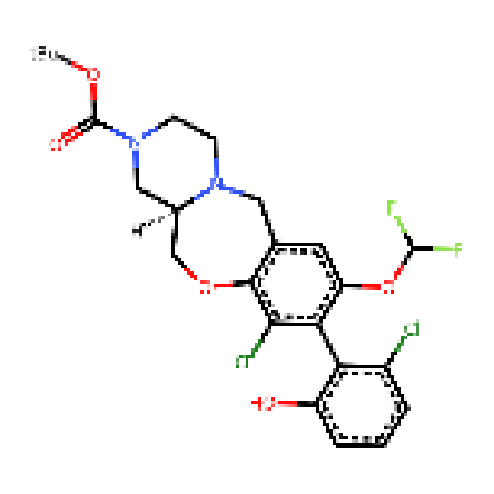 CC(C)(C)OC(=O)N1CCN2Cc3cc(OC(F)F)c(-c4c(O)cccc4Cl)c(Cl)c3OC[C@H]2C1